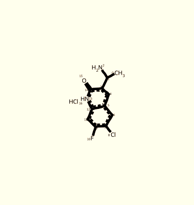 CC(N)c1cc2cc(Cl)c(F)cc2[nH]c1=O.Cl